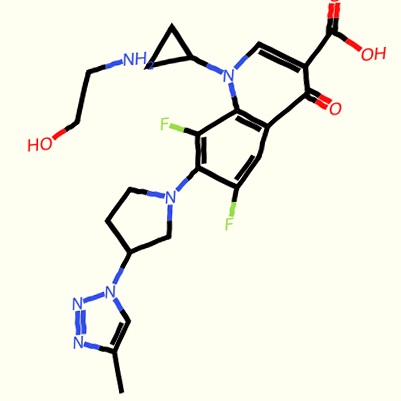 Cc1cn(C2CCN(c3c(F)cc4c(=O)c(C(=O)O)cn(C5CC5)c4c3F)C2)nn1.NCCO